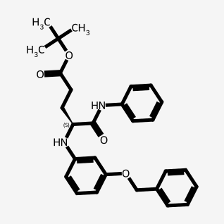 CC(C)(C)OC(=O)CC[C@H](Nc1cccc(OCc2ccccc2)c1)C(=O)Nc1ccccc1